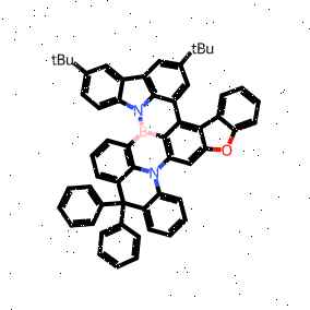 CC(C)(C)c1ccc2c(c1)c1cc(C(C)(C)C)cc3c1n2B1c2cccc4c2N(c2ccccc2C4(c2ccccc2)c2ccccc2)c2cc4oc5ccccc5c4c-3c21